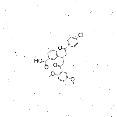 COc1ccc(OC)c(C(=O)CC(CC(=O)c2ccc(Cl)cc2)c2cccc(C(=O)O)c2)c1